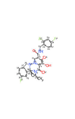 CCN1C(=O)c2c(O)c(=O)c(C(=O)NCc3ccc(F)cc3F)cn2N2Cc3ccc(F)cc3[C@@]12C